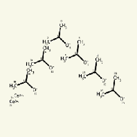 CC(C)[O-].CC(C)[O-].CC(C)[O-].CC(C)[O-].CC(C)[O-].CC(C)[O-].[Ce+3].[Ce+3]